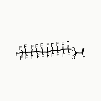 C=C(F)C(=O)OC(F)(F)C(F)(F)C(F)(F)C(F)(F)C(F)(F)C(F)(F)C(F)(F)C(F)(F)C(F)(F)C(F)(F)F